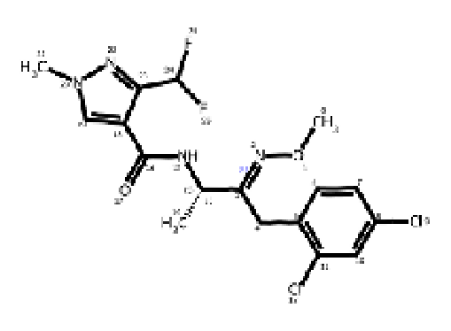 CO/N=C(\Cc1ccc(Cl)cc1Cl)[C@H](C)NC(=O)c1cn(C)nc1C(F)F